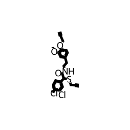 C#CCOc1ccc(CCNC(=O)C(SCC#C)c2ccc(Cl)c(Cl)c2)cc1OC